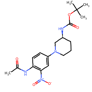 CC(=O)Nc1ccc(N2CCC[C@H](NC(=O)OC(C)(C)C)C2)cc1[N+](=O)[O-]